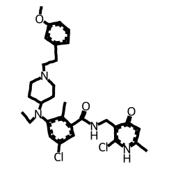 CCN(c1cc(Cl)cc(C(=O)NCc2c(Cl)[nH]c(C)cc2=O)c1C)C1CCN(CCc2cccc(OC)c2)CC1